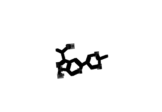 Cc1ncc(-c2cc3c(C(C)O)nn(C(C)C)c3cn2)cn1